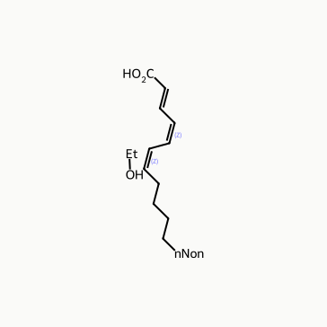 CCCCCCCCCCCCC/C=C\C=C/C=CC(=O)O.CCO